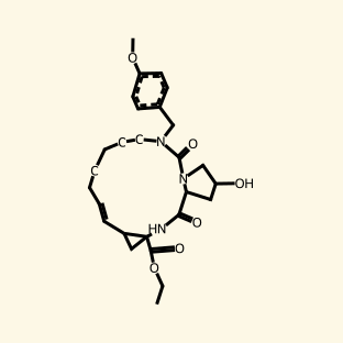 CCOC(=O)C12CC1/C=C/CCCCCN(Cc1ccc(OC)cc1)C(=O)N1CC(O)CC1C(=O)N2